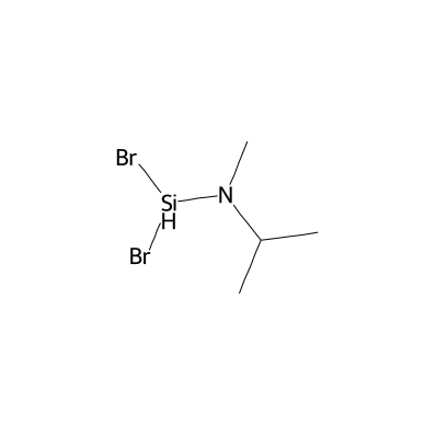 CC(C)N(C)[SiH](Br)Br